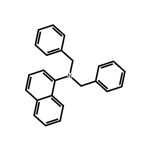 c1ccc(CN(Cc2ccccc2)c2cccc3ccccc23)cc1